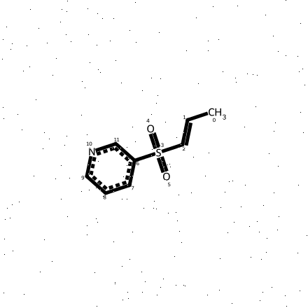 CC=CS(=O)(=O)c1cccnc1